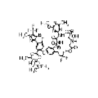 CC(C)OC(=O)c1cc(-c2nn(C)c(C(F)(F)F)c2Br)c(F)cc1Cl.COc1nc(C)nc(NC(=O)NS(=O)(=O)c2ccccc2CCC(F)(F)F)n1.C[S+](C)C.O=C(O)CNCP(=O)([O-])O